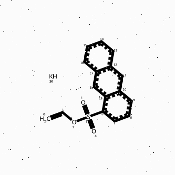 C=COS(=O)(=O)c1cccc2cc3ccccc3cc12.[KH]